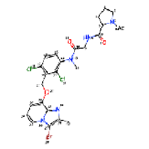 CC(=O)N1CCC[C@@H]1C(=O)NCC(=O)N(C)c1ccc(Cl)c(COc2cccn3c(Br)c(C)nc23)c1Cl